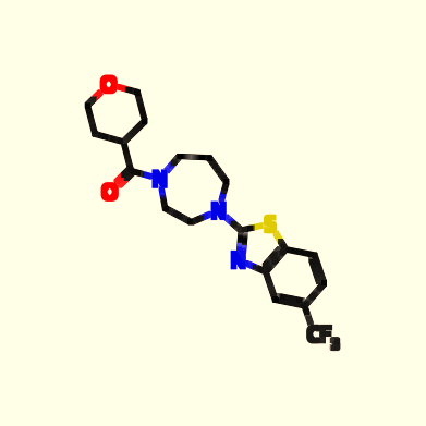 O=C(C1CCOCC1)N1CCCN(c2nc3cc(C(F)(F)F)ccc3s2)CC1